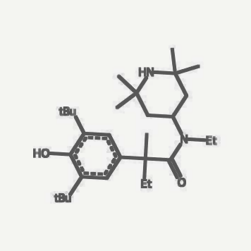 CCN(C(=O)C(C)(CC)c1cc(C(C)(C)C)c(O)c(C(C)(C)C)c1)C1CC(C)(C)NC(C)(C)C1